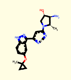 C[C@H]1[C@H](N)[C@@H](O)CN1c1cc(-c2n[nH]c3ccc(OC4(C)CC4)cc23)ncn1